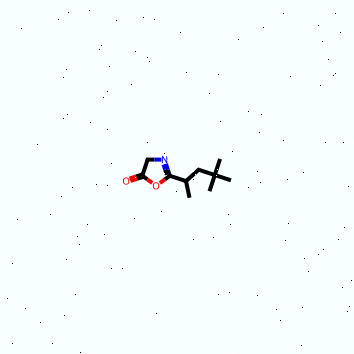 CC(CC(C)(C)C)C1=NCC(=O)O1